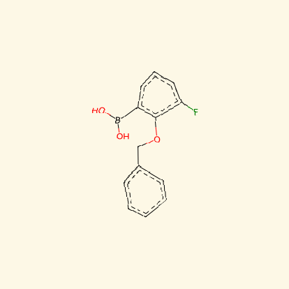 OB(O)c1cccc(F)c1OCc1ccccc1